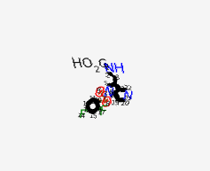 O=C(O)NCCc1cn(S(=O)(=O)c2ccc(F)cc2F)c2ccncc12